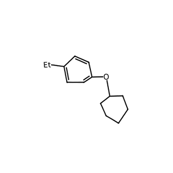 CCc1ccc(OC2CCCCC2)cc1